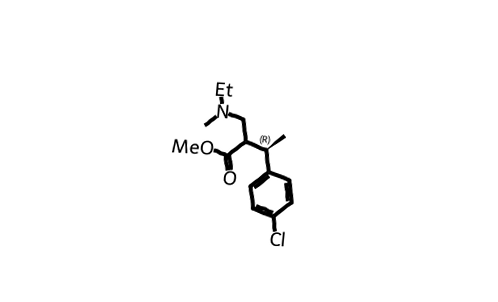 CCN(C)CC(C(=O)OC)[C@@H](C)c1ccc(Cl)cc1